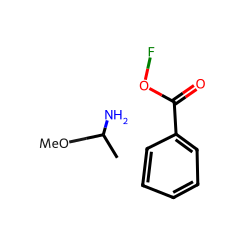 COC(C)N.O=C(OF)c1ccccc1